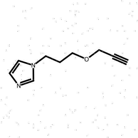 C#CCOCCCn1ccnc1